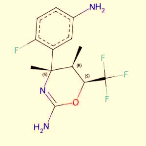 C[C@H]1[C@@H](C(F)(F)F)OC(N)=N[C@]1(C)c1cc(N)ccc1F